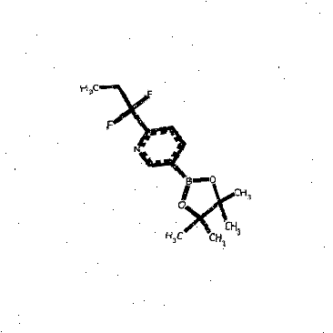 CCC(F)(F)c1ccc(B2OC(C)(C)C(C)(C)O2)cn1